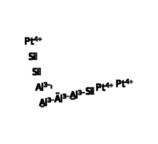 [Al-3].[Al-3].[Al-3].[Al-3].[Pt+4].[Pt+4].[Pt+4].[Si].[Si].[Si]